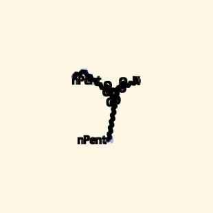 CCCCC/C=C\C/C=C\CCCCCCCC(=O)Oc1cc(COC(=O)CCCN(C)C)cc(OC(=O)CCCCCCCCCC/C=C\CCCCC)c1